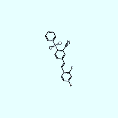 N#Cc1cc(C=Cc2ccc(F)cc2F)ccc1S(=O)(=O)c1ccccc1